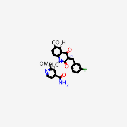 CN1C(=O)/C(=C\c2cccc(F)c2)C(=O)c2cc(C(=O)O)ccc21.COc1cc(C(N)=O)ccn1